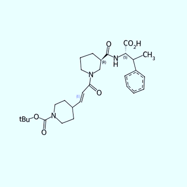 CC(c1ccccc1)[C@H](NC(=O)[C@@H]1CCCN(C(=O)/C=C/C2CCN(C(=O)OC(C)(C)C)CC2)C1)C(=O)O